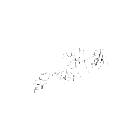 CC(Cc1ccc2c(c1)cc(C(=O)O)n2Cc1cccc(S(=O)(=O)NC(F)(F)F)c1)NCC(O)c1cccc(C(F)(F)F)c1